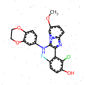 COc1ccc2nc(-c3c(F)ccc(O)c3Cl)c(Nc3ccc4c(c3)OCCO4)n2c1